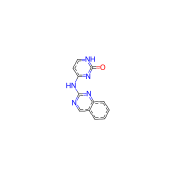 O=c1nc(Nc2ncc3ccccc3n2)cc[nH]1